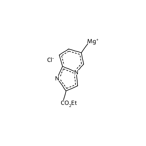 CCOC(=O)c1cn2c[c]([Mg+])ccc2n1.[Cl-]